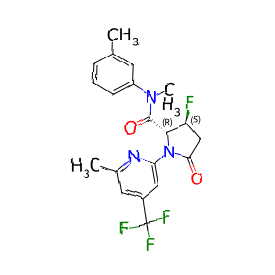 Cc1cccc(N(C)C(=O)[C@@H]2[C@@H](F)CC(=O)N2c2cc(C(F)(F)F)cc(C)n2)c1